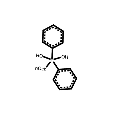 CCCCCCCCP(O)(O)(c1ccccc1)c1ccccc1